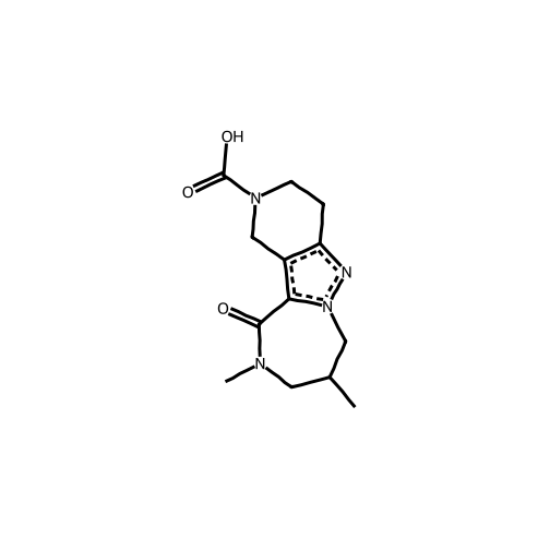 CC1CN(C)C(=O)c2c3c(nn2C1)CCN(C(=O)O)C3